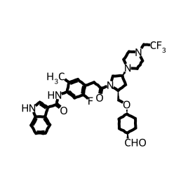 Cc1cc(CC(=O)N2C[C@@H](N3CCN(CC(F)(F)F)CC3)C[C@H]2CO[C@H]2CC[C@H](C=O)CC2)c(F)cc1NC(=O)c1c[nH]c2ccccc12